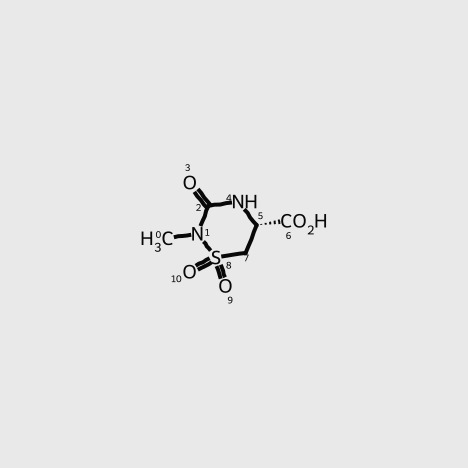 CN1C(=O)N[C@H](C(=O)O)CS1(=O)=O